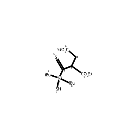 CCOC(=O)CC(C(=O)OCC)C(=S)[N+](S)(C(C)CC)C(C)CC